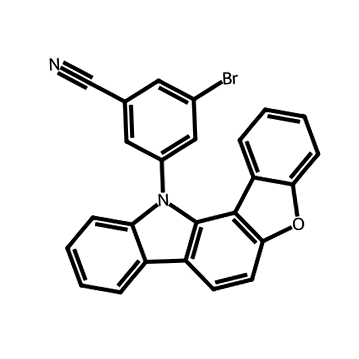 N#Cc1cc(Br)cc(-n2c3ccccc3c3ccc4oc5ccccc5c4c32)c1